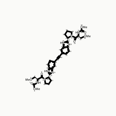 COC[C@H](NC(=O)OC)C(=O)N1CCC[C@H]1c1nc2cc(C#Cc3ccc4nc([C@@H]5CCCN5C(=O)[C@H](COC)NC(=O)OC)[nH]c4c3)ccc2[nH]1